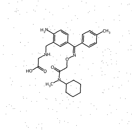 Cc1ccc(C(=NOCC(=O)N(C)C2CCCCC2)c2ccc(N)c(CNCC(=O)O)c2)cc1